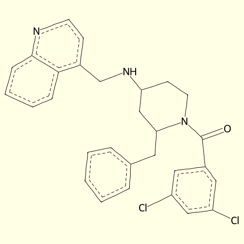 O=C(c1cc(Cl)cc(Cl)c1)N1CCC(NCc2ccnc3ccccc23)CC1Cc1ccccc1